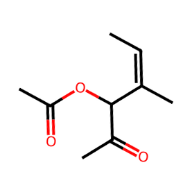 CC=C(C)C(OC(C)=O)C(C)=O